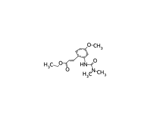 CCOC(=O)C=Cc1ccc(OC)cc1NC(=O)N(C)C